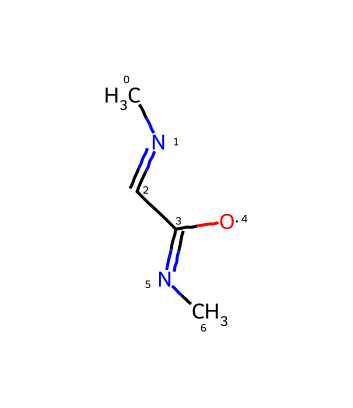 CN=CC([O])=NC